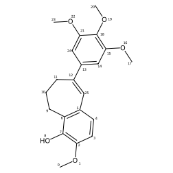 COc1ccc2c(c1O)CCCC(c1cc(OC)c(OC)c(OC)c1)=C2